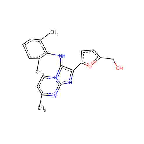 Cc1ccn2c(Nc3c(C)cccc3C)c(-c3ccc(CO)o3)nc2n1